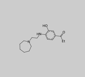 CCC(=O)c1ccc(NCCN2CCCCCC2)c(O)c1